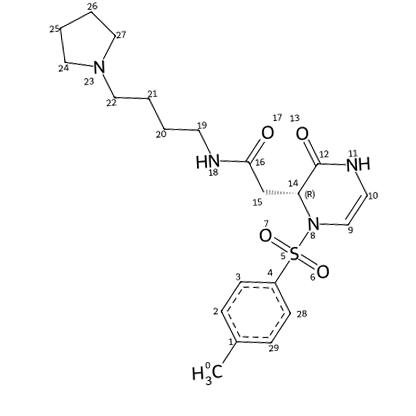 Cc1ccc(S(=O)(=O)N2C=CNC(=O)[C@H]2CC(=O)NCCCCN2CCCC2)cc1